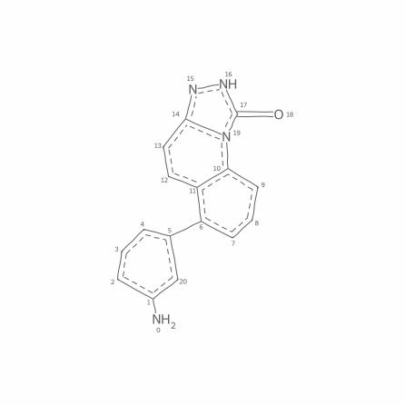 Nc1cccc(-c2cccc3c2ccc2n[nH]c(=O)n23)c1